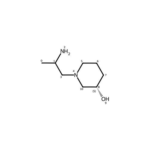 CC(N)CN1CCC[C@H](O)C1